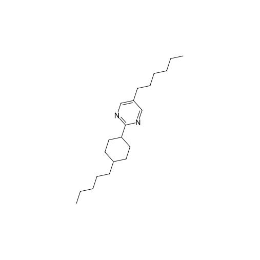 CCCCCCc1cnc(C2CCC(CCCCC)CC2)nc1